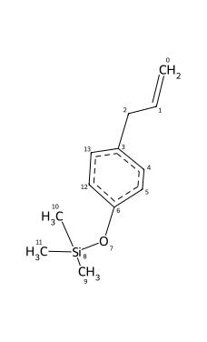 C=CCc1ccc(O[Si](C)(C)C)cc1